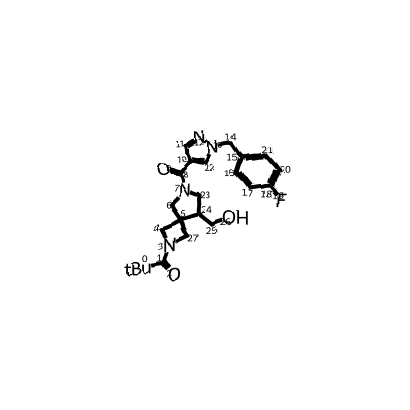 CC(C)(C)C(=O)N1CC2(CN(C(=O)c3cnn(Cc4ccc(F)cc4)c3)CC2CO)C1